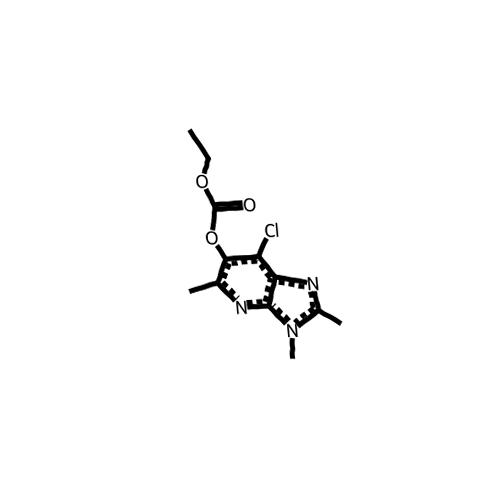 CCOC(=O)Oc1c(C)nc2c(nc(C)n2C)c1Cl